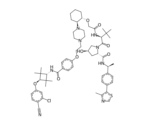 Cc1ncsc1-c1ccc([C@H](C)NC(=O)[C@@H]2C[C@@H](O)CN2C(=O)[C@@H](NC(=O)CO[C@H]2CCCC[C@@H]2N2CCN(CCOc3ccc(C(=O)N[C@H]4C(C)(C)[C@H](Oc5ccc(C#N)c(Cl)c5)C4(C)C)cc3)CC2)C(C)(C)C)cc1